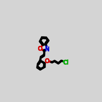 ClCCCCOc1ccccc1C=Cc1nc2ccccc2o1